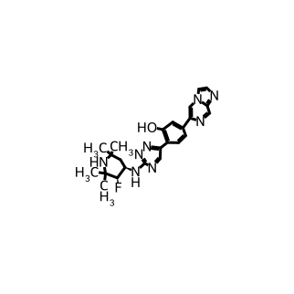 CC1(C)C[C@@H](Nc2ncc(-c3ccc(-c4cn5ccnc5cn4)cc3O)nn2)[C@H](F)C(C)(C)N1